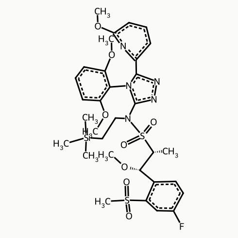 COc1cccc(-c2nnc(N(CC[Si](C)(C)C)S(=O)(=O)[C@H](C)[C@@H](OC)c3ccc(F)cc3S(C)(=O)=O)n2-c2c(OC)cccc2OC)n1